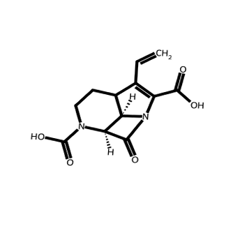 C=CC1=C(C(=O)O)N2C(=O)[C@@H]3[C@H]2C1CCN3C(=O)O